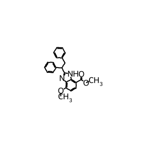 COC(=O)c1ccc(OC)c2nc(C(Cc3ccccc3)c3ccccc3)[nH]c12